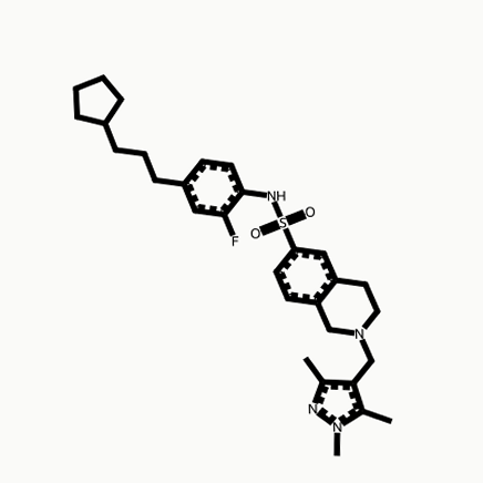 Cc1nn(C)c(C)c1CN1CCc2cc(S(=O)(=O)Nc3ccc(CCCC4CCCC4)cc3F)ccc2C1